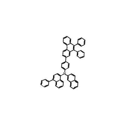 c1ccc(-c2ccc(N(c3ccc(-c4ccc5c(c4)c(-c4ccccc4)c(-c4ccccc4)c4ccccc45)cc3)c3ccc4ccccc4c3)c3ccccc23)cc1